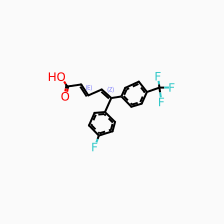 O=C(O)/C=C/C=C(\c1ccc(F)cc1)c1ccc(C(F)(F)F)cc1